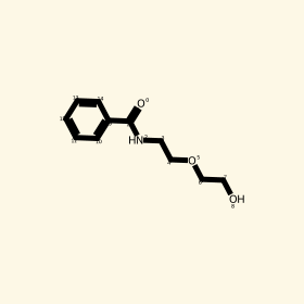 O=C(NCCOCCO)c1cc[c]cc1